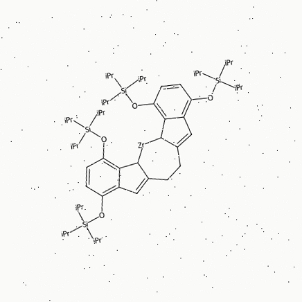 CC(C)[Si](Oc1ccc(O[Si](C(C)C)(C(C)C)C(C)C)c2c1C=C1CCC3=Cc4c(O[Si](C(C)C)(C(C)C)C(C)C)ccc(O[Si](C(C)C)(C(C)C)C(C)C)c4[CH]3[Zr][CH]12)(C(C)C)C(C)C